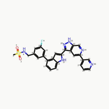 CS(=O)(=O)NCc1cc(F)cc(-c2cccc3[nH]c(-c4n[nH]c5cnc(-c6cccnc6)cc45)cc23)c1